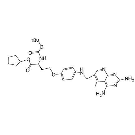 Cc1c(CNc2ccc(OCC[C@H](NC(=O)OC(C)(C)C)C(=O)OC3CCCC3)cc2)cnc2nc(N)nc(N)c12